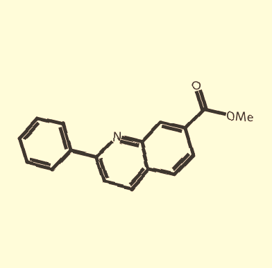 COC(=O)c1ccc2ccc(-c3ccccc3)nc2c1